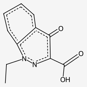 CCn1nc(C(=O)O)c(=O)c2ccccc21